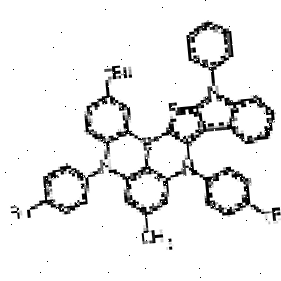 Cc1cc2c3c(c1)N(c1ccc(C(C)(C)C)cc1)c1c(sc4c1c1ccccc1n4-c1ccccc1)B3c1cc(C(C)(C)C)ccc1N2c1ccc(C(C)(C)C)cc1